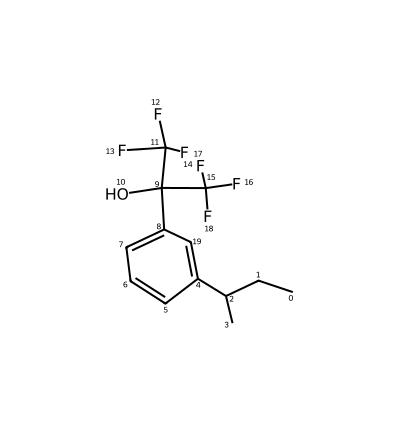 CCC(C)c1cccc(C(O)(C(F)(F)F)C(F)(F)F)c1